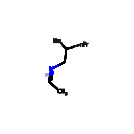 C/C=N\CC(CCC)C(C)CC